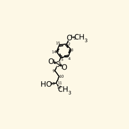 COc1ccc(S(=O)(=O)CC[C@@H](C)O)cc1